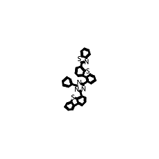 c1ccc(-c2nc(-c3cccc4c3sc3ccccc34)nc(-c3cccc4sc5c(-c6nc7ccccc7s6)cccc5c34)n2)cc1